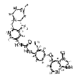 CN1CCN(Cc2ncc(NC(=O)Nc3ccc(Oc4ccnc5[nH]cc(Cl)c45)cc3F)cc2C(F)(F)F)CC1